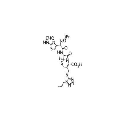 C=CCn1nnnc1SCC1=C(C(=O)O)N2C(=O)C(NC(=O)/C(=N\OC(C)C)c3csc(NC=O)n3)[C@H]2SC1